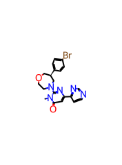 Cn1c(N2CCOC[C@@H](c3ccc(Br)cc3)C2)nc(-c2ccncn2)cc1=O